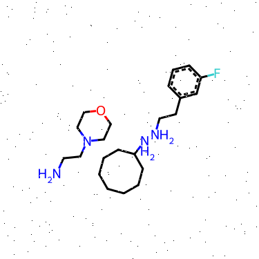 NC1CCCCCCC1.NCCN1CCOCC1.NCCc1cccc(F)c1